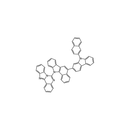 c1ccc2cc(-n3c4ccccc4c4ccc(-c5cc6c7ccccc7n(-c7nc8ccccc8c8nc9ccccc9n78)c6c6ccccc56)cc43)ccc2c1